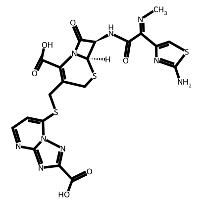 CN=C(C(=O)N[C@@H]1C(=O)N2C(C(=O)O)=C(CSc3ccnc4nc(C(=O)O)nn34)CS[C@H]12)c1csc(N)n1